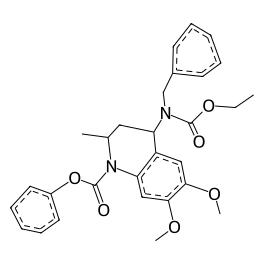 CCOC(=O)N(Cc1ccccc1)C1CC(C)N(C(=O)Oc2ccccc2)c2cc(OC)c(OC)cc21